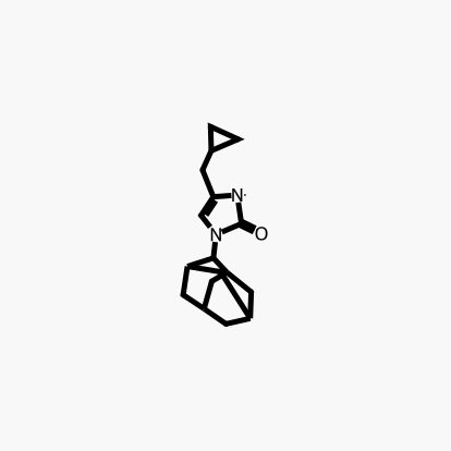 O=C1[N]C(CC2CC2)=CN1C1C2CC3CC(C2)CC1C3